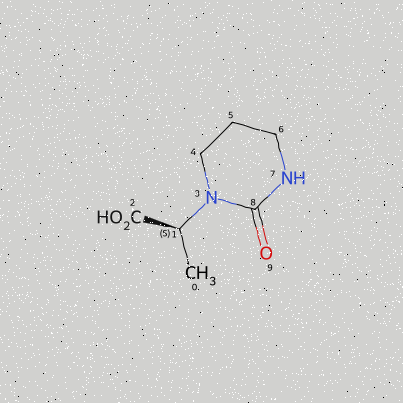 C[C@@H](C(=O)O)N1CCCNC1=O